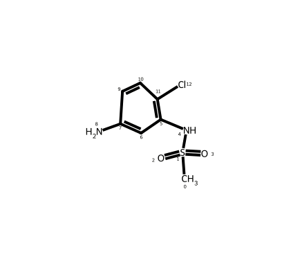 CS(=O)(=O)Nc1cc(N)ccc1Cl